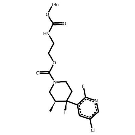 C[C@H]1CN(C(=O)OCCNC(=O)OC(C)(C)C)CC[C@]1(F)c1cc(Cl)cnc1F